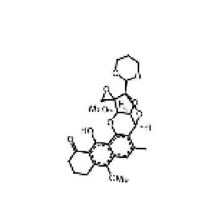 COc1c2c(c(O)c3c4c(c(C)cc13)[C@@H]1O[C@@]3(C5OCCCO5)O[C@@H]1[C@@](OC)(O4)[C@@]31CO1)C(=O)CCC2